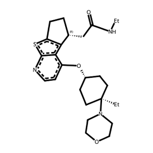 CCNC(=O)C[C@H]1CCc2sc3nccc(O[C@H]4CC[C@](CC)(N5CCOCC5)CC4)c3c21